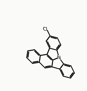 Clc1ccc2c(c1)c1c3ccccc3cc3c4ccccc4n2c31